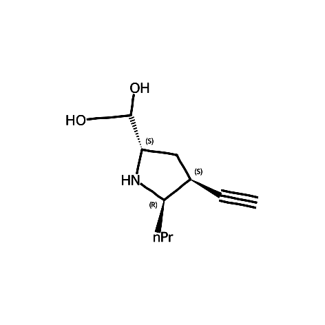 C#C[C@@H]1C[C@@H](C(O)O)N[C@@H]1CCC